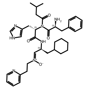 CC(C)CC(=O)N(C(=O)[C@@H](N)Cc1ccccc1)[C@@H](Cc1c[nH]cn1)C(=O)N[C@H](C=[N+]([O-])CCc1ccccn1)CC1CCCCC1